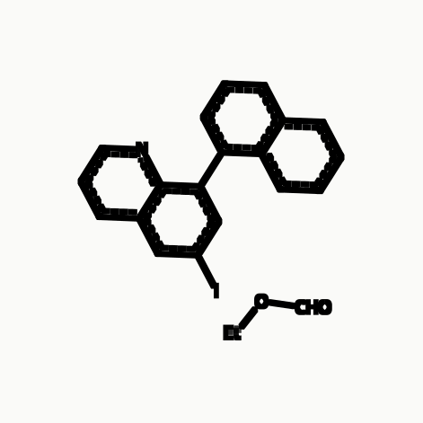 CCOC=O.Ic1cc(-c2cccc3ccccc23)c2ncccc2c1